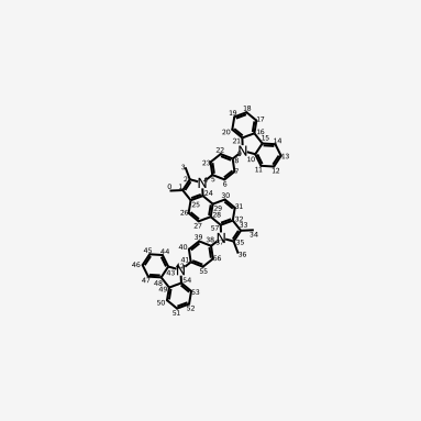 Cc1c(C)n(-c2ccc(-n3c4ccccc4c4ccccc43)cc2)c2c1ccc1c2ccc2c(C)c(C)n(-c3ccc(-n4c5ccccc5c5ccccc54)cc3)c21